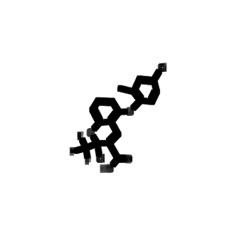 Cc1cc(Cl)ccc1Oc1cccc2c1C=C(C(=O)O)C(Cl)(C(F)(F)F)O2